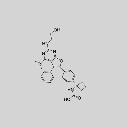 CN(C)c1nc(NCCO)nc2oc(-c3ccc(C4(NC(=O)O)CCC4)cc3)c(-c3ccccc3)c12